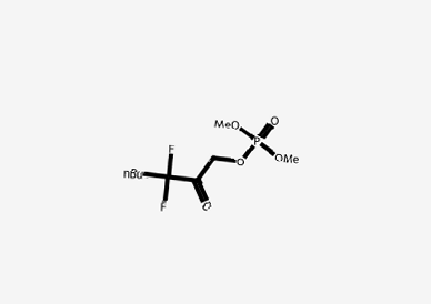 CCCCC(F)(F)C(=O)COP(=O)(OC)OC